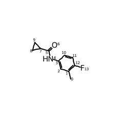 Cc1cc(NC(=O)C2CC2)ccc1F